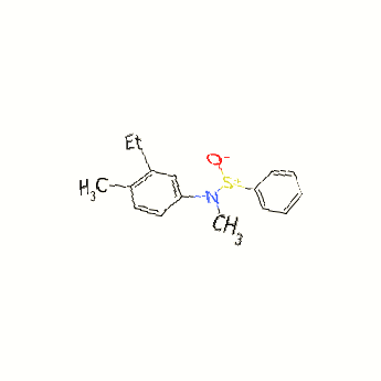 CCc1cc(N(C)[S+]([O-])c2ccccc2)ccc1C